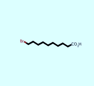 O=C(O)CCCCCCCCCBr